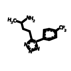 CC(N)CCc1nnnn1-c1ccc(C(F)(F)F)cc1